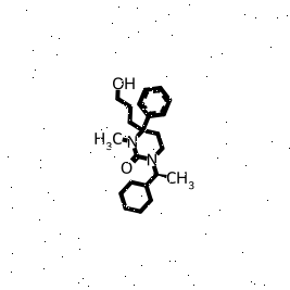 C[C@@H](C1CCCCC1)N1CCC(CCCO)(c2ccccc2)N(C)C1=O